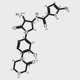 CC1C(=O)N(c2ccc(N3CCOCC3=O)c(Cl)c2)CC1NC(=O)c1ccc(Br)s1